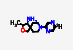 [2H]c1cnc(N2CCC3(CC2)CO[C@@H](C)[C@H]3N)cn1